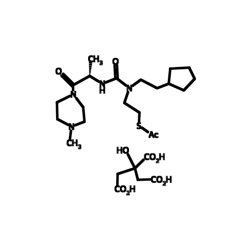 CC(=O)SCCN(CCC1CCCC1)C(=O)N[C@@H](C)C(=O)N1CCN(C)CC1.O=C(O)CC(O)(CC(=O)O)C(=O)O